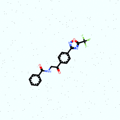 O=C(CNC(=O)c1ccccc1)c1ccc(-c2noc(C(F)(F)F)n2)cc1